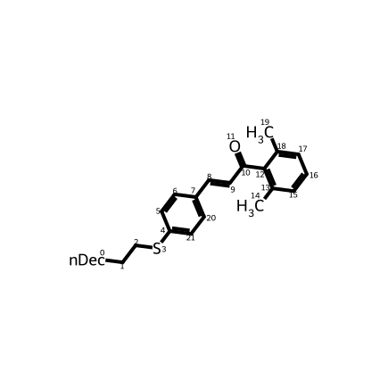 CCCCCCCCCCCCSc1ccc(C=CC(=O)c2c(C)cccc2C)cc1